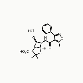 Cc1onc(-c2ccccc2)c1C(=O)N[C@@H]1C(=O)N2[C@@H]1SC(C)(C)[C@@H]2C(=O)O.Cl